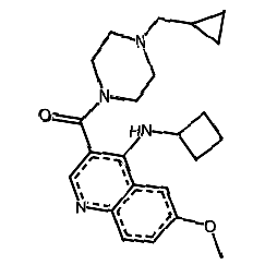 COc1ccc2ncc(C(=O)N3CCN(CC4CC4)CC3)c(NC3CCC3)c2c1